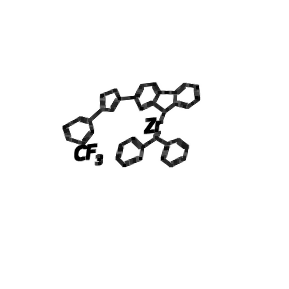 FC(F)(F)c1cccc(C2=CCC(c3ccc4c(c3)[CH]([Zr]=[C](c3ccccc3)c3ccccc3)c3ccccc3-4)=C2)c1